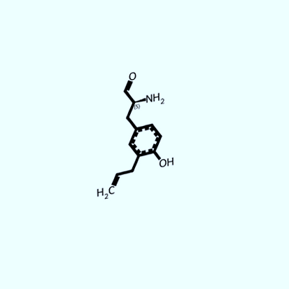 C=CCc1cc(C[C@H](N)C=O)ccc1O